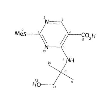 CSc1ncc(C(=O)O)c(NC(C)(C)CO)n1